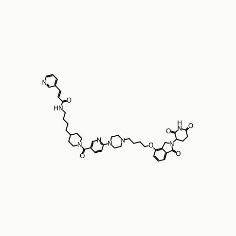 O=C(/C=C/c1cccnc1)NCCCCC1CCN(C(=O)c2ccc(N3CCN(CCCCOc4cccc5c4CN(C4CCC(=O)NC4=O)C5=O)CC3)nc2)CC1